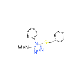 CNc1nnc(SCc2ccccc2)n1-c1ccccc1